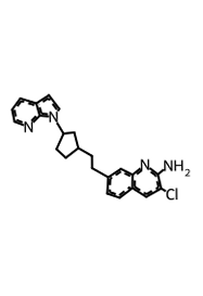 Nc1nc2cc(CCC3CCC(n4ccc5cccnc54)C3)ccc2cc1Cl